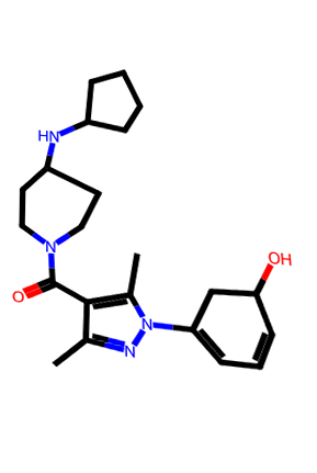 Cc1nn(C2=CC=CC(O)C2)c(C)c1C(=O)N1CCC(NC2CCCC2)CC1